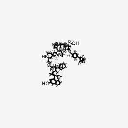 CCc1cccc2cc(O)cc(-c3ncc4c(N5CC6CCC(C5)N6)nc(OCCC5CC(F)(CC6[C@H](C)NCCN6c6cnoc6C(C)(C)CC(=O)[C@]6(C(=O)N[C@@H](C)c7ccc(-c8scnc8C)cc7)CC(O)CN6)CCN5)nc4c3F)c12